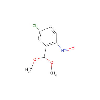 COC(OC)c1cc(Cl)ccc1N=O